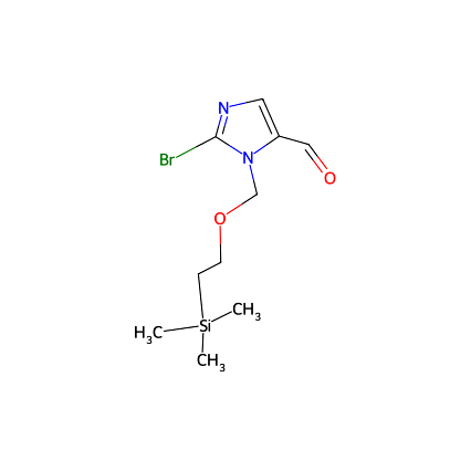 C[Si](C)(C)CCOCn1c(C=O)cnc1Br